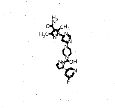 Cc1nn(-c2cc(N3CCN(C(O)N4N=CC[C@H]4c4cncc(F)c4)CC3)ncn2)c(C)c1C(N)=O